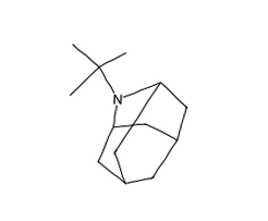 CC(C)(C)N1C2CC3CC(C2)CC1C3